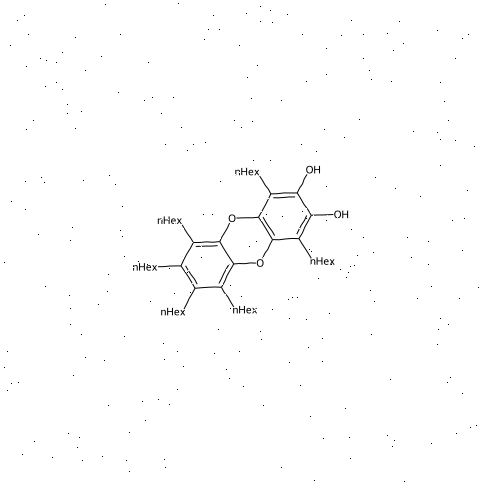 CCCCCCc1c(CCCCCC)c(CCCCCC)c2c(c1CCCCCC)Oc1c(CCCCCC)c(O)c(O)c(CCCCCC)c1O2